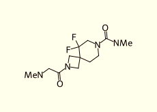 CNCC(=O)N1CC2(CCN(C(=O)NC)CC2(F)F)C1